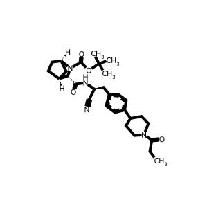 CCC(=O)N1CCC(c2ccc(C[C@@H](C#N)NC(=O)[C@@H]3[C@H]4CC[C@H](C4)N3C(=O)OC(C)(C)C)cc2)CC1